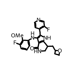 COc1c(F)cccc1Nc1c(-c2ccncc2F)[nH]c2c1C(=O)NCC2CC1CCO1